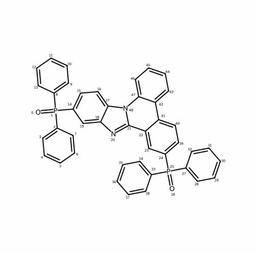 O=P(c1ccccc1)(c1ccccc1)c1ccc2c(c1)nc1c3cc(P(=O)(c4ccccc4)c4ccccc4)ccc3c3ccccc3n21